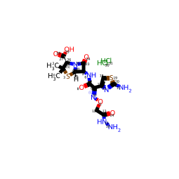 CC1(C)S[C@@H]2C(NC(=O)/C(=N/OCC(=O)NN)c3csc(N)n3)C(=O)N2[C@H]1C(=O)O.Cl.Cl